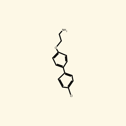 NCCOc1ccc(-c2ccc(Cl)cc2)cc1